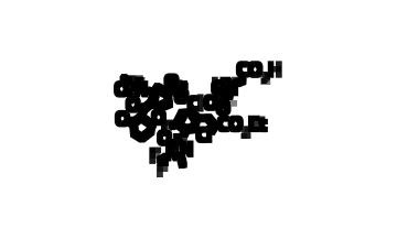 CCOC(=O)C(Cl)Cc1cc(-n2nc(C)n(C(F)F)c2=O)c(F)cc1Cl.CS(=O)(=O)c1ccc(C(=O)C2C(=O)CCCC2=O)c([N+](=O)[O-])c1.C[S+](C)C.O=C(O)CNCP(=O)([O-])O